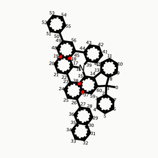 CC1(c2ccccc2)c2ccccc2-c2c(N(c3ccccc3-c3ccc(-c4ccc5ccccc5c4)cc3)c3ccccc3-c3cccc(-c4ccccc4)c3)cccc21